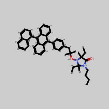 CCCCN1C(=O)C(C)(CC)N(OC(C)(C)Cc2ccc(-c3c4ccccc4c(-c4cccc5ccccc45)c4ccccc34)cc2)C1(C)CC